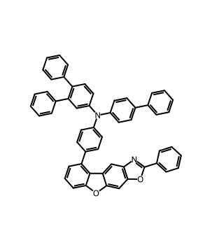 c1ccc(-c2ccc(N(c3ccc(-c4cccc5oc6cc7oc(-c8ccccc8)nc7cc6c45)cc3)c3ccc(-c4ccccc4)c(-c4ccccc4)c3)cc2)cc1